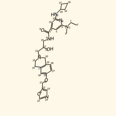 CCN(C)c1cc(C(=O)NCC(O)CN2CCc3cc(OCc4cnco4)ccc3C2)cc(NC2CCC2)n1